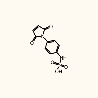 O=C1C=CC(=O)N1c1ccc(NS(=O)(=O)O)cc1